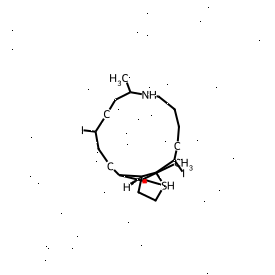 CC1CCC(I)CCC2CC(C)[SH]3CC[C@H]2C3C(I)CCCCN1